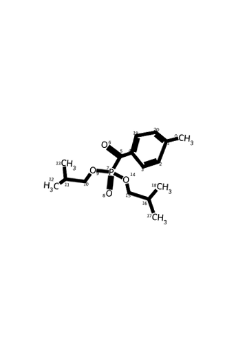 Cc1ccc(C(=O)P(=O)(OCC(C)C)OCC(C)C)cc1